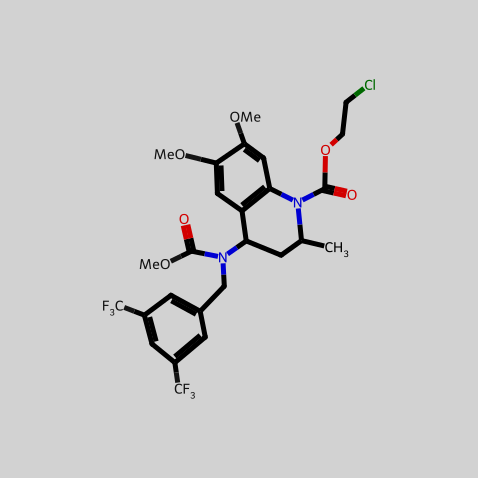 COC(=O)N(Cc1cc(C(F)(F)F)cc(C(F)(F)F)c1)C1CC(C)N(C(=O)OCCCl)c2cc(OC)c(OC)cc21